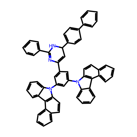 C1=C(c2cc(-n3c4ccccc4c4c5ccccc5ccc43)cc(-n3c4ccccc4c4c5ccccc5ccc43)c2)N=C(c2ccccc2)NC1c1ccc(-c2ccccc2)cc1